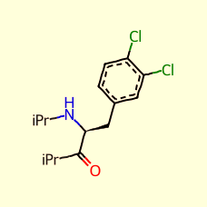 CC(C)N[C@@H](Cc1ccc(Cl)c(Cl)c1)C(=O)C(C)C